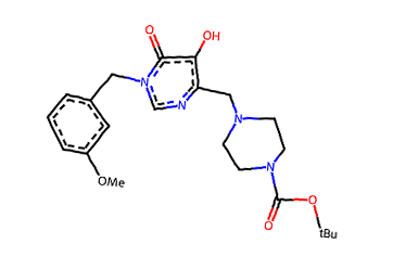 COc1cccc(Cn2cnc(CN3CCN(C(=O)OC(C)(C)C)CC3)c(O)c2=O)c1